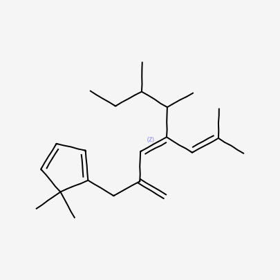 C=C(/C=C(\C=C(C)C)C(C)C(C)CC)CC1=CC=CC1(C)C